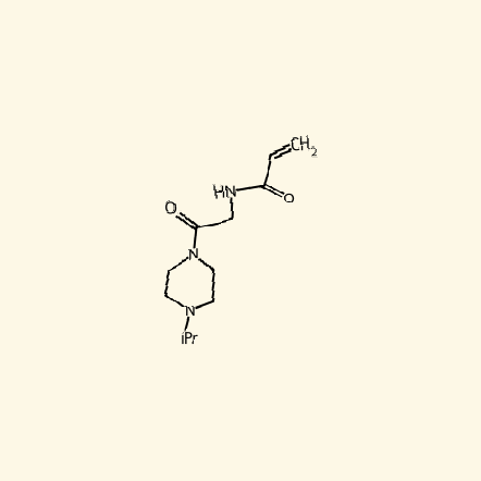 C=CC(=O)NCC(=O)N1CCN(C(C)C)CC1